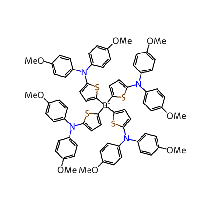 COc1ccc(N(c2ccc(OC)cc2)c2ccc([B-](c3ccc(N(c4ccc(OC)cc4)c4ccc(OC)cc4)s3)(c3ccc(N(c4ccc(OC)cc4)c4ccc(OC)cc4)s3)c3ccc(N(c4ccc(OC)cc4)c4ccc(OC)cc4)s3)s2)cc1